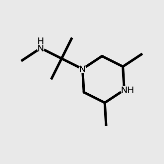 CNC(C)(C)N1CC(C)NC(C)C1